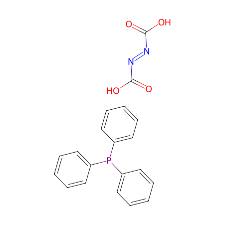 O=C(O)N=NC(=O)O.c1ccc(P(c2ccccc2)c2ccccc2)cc1